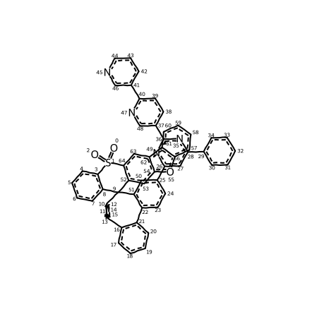 O=S1(=O)c2ccccc2C2(c3ccccc3-c3ccccc3-c3ccc(-c4cc(-c5ccccc5)nc(-c5ccc(-c6cccnc6)nc5)n4)cc32)c2cc3oc4ccccc4c3cc21